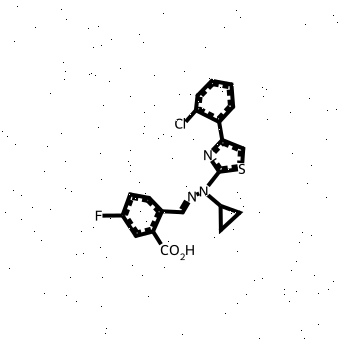 O=C(O)c1cc(F)ccc1C=NN(c1nc(-c2ccccc2Cl)cs1)C1CC1